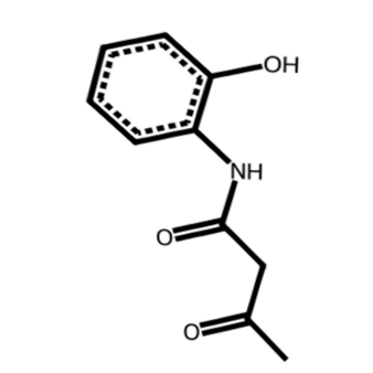 CC(=O)CC(=O)Nc1ccccc1O